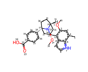 COc1cc(C)c2[nH]ccc2c1CN1[C@@H]2CC[C@]1(c1ccc(C(=O)O)cc1)C[C@@H](OC)C2